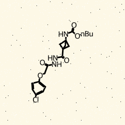 CCCCOC(=O)NC12CC(C(=O)NNC(=O)COc3ccc(Cl)cc3)(C1)C2